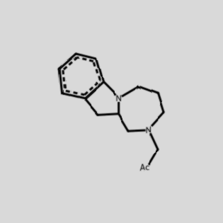 CC(=O)CN1CCCN2c3ccccc3CC2C1